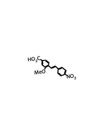 COc1cc(C(=O)O)ccc1C=Cc1ccc([N+](=O)[O-])cc1